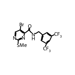 CSc1ncc(Br)c(C(=O)NCc2cc(C(F)(F)F)cc(C(F)(F)F)c2)n1